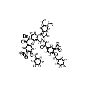 CCc1cc2c(cc1CC)CC(N(CC(=O)c1ccc(OCc3ccccc3)c([N+](=O)[O-])c1)Cc1ccccc1)C2.O=C(CBr)c1ccc(OCc2ccccc2)c([N+](=O)[O-])c1